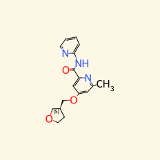 Cc1cc(OC[C@H]2CCOC2)cc(C(=O)Nc2ccccn2)n1